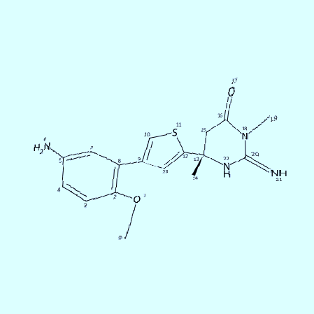 COc1ccc(N)cc1-c1csc([C@]2(C)CC(=O)N(C)C(=N)N2)c1